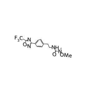 CON(C)C(=O)NCCc1ccc(-c2noc(C(F)(F)F)n2)cc1